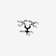 COC(C)(C)C(CO[Si](C)(C)C(C)(C)C)CO[Si](C)(C)C(C)(C)C